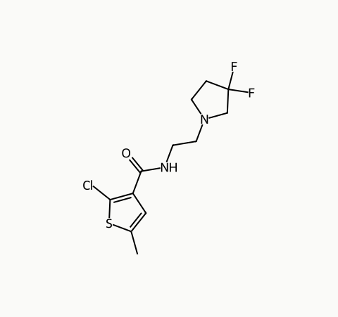 Cc1cc(C(=O)NCCN2CCC(F)(F)C2)c(Cl)s1